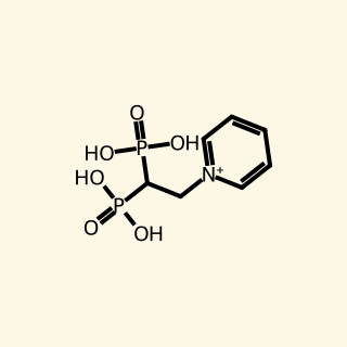 O=P(O)(O)C(C[n+]1ccccc1)P(=O)(O)O